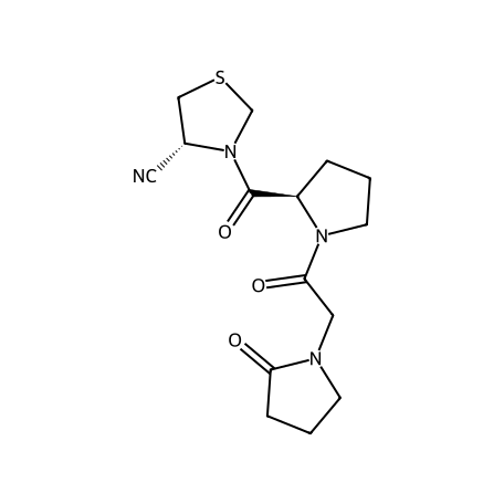 N#C[C@@H]1CSCN1C(=O)[C@H]1CCCN1C(=O)CN1CCCC1=O